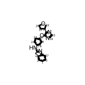 c1ccc2sc(Nc3ccc(Oc4nccnc4[C@H]4CCOC4)cc3)nc2c1